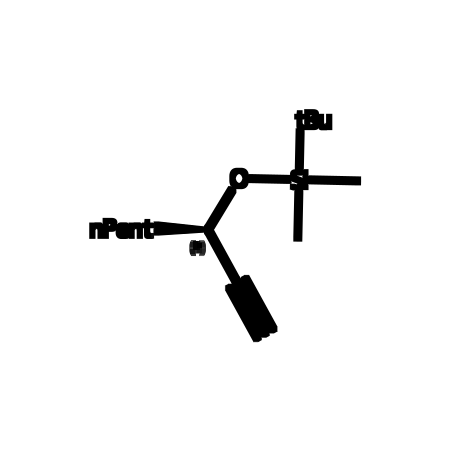 C#C[C@@H](CCCCC)O[Si](C)(C)C(C)(C)C